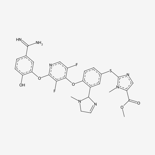 COC(=O)c1cnc(Sc2ccc(Oc3c(F)cnc(Oc4cc(C(=N)N)ccc4O)c3F)c(C3N=CCN3C)c2)n1C